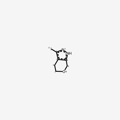 Ic1n[nH]c2c1CCOC2